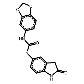 O=C1Cc2cc(NC(=O)Nc3ccc4c(c3)OCO4)ccc2N1